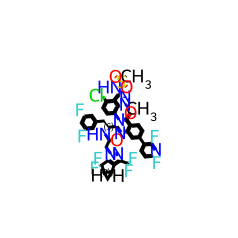 Cn1nc(NS(C)(=O)=O)c2c(Cl)ccc(-n3c([C@H](Cc4cc(F)cc(F)c4)NC(=O)Cn4nc(C(F)F)c5c4C(F)(F)[C@@H]4C[C@H]54)nc4cc(-c5ccc(F)nc5F)ccc4c3=O)c21